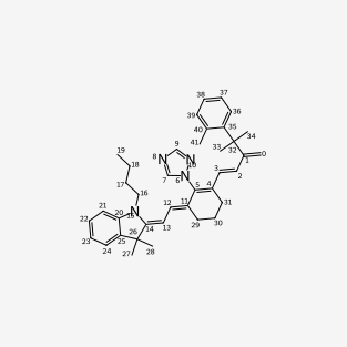 C=C(/C=C/C1=C(n2cncn2)C(=C/C=C2\N(CCCC)c3ccccc3C2(C)C)/CCC1)C(C)(C)c1ccccc1C